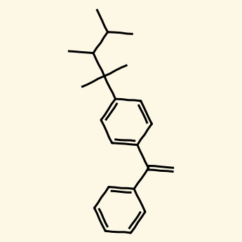 C=C(c1ccccc1)c1ccc(C(C)(C)C(C)C(C)C)cc1